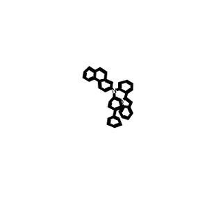 c1ccc(-c2ccc(N(c3ccc4c(ccc5ccccc54)c3)c3ccccc3-c3cc4ccccc4o3)cc2)cc1